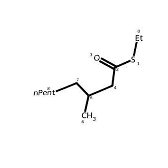 [CH2]CSC(=O)CC(C)CCCCCC